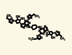 CCc1cnn(-c2nc(N[C@H]3CC[C@@H](Nc4nc(-n5ncc(CC)n5)nc5c4ncn5[C@@H]4C[C@H](n5ncc(CC)n5)[C@@H](O)[C@H]4O)CC3)c3ncn([C@@H]4C[C@H](n5ncc(CC)n5)[C@@H](O)[C@H]4O)c3n2)n1